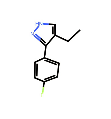 CCc1c[nH]nc1-c1ccc(F)cc1